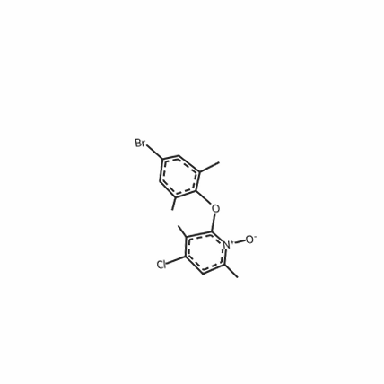 Cc1cc(Br)cc(C)c1Oc1c(C)c(Cl)cc(C)[n+]1[O-]